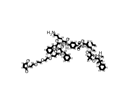 CN[C@H](C(=O)N[C@H](C(=O)N(C)[C@H](C=C(C)C(=O)NS(=O)(=O)c1ccc(NC(=O)[C@H](CCCCN)NC(=O)[C@H](Cc2ccccc2)NC(=O)[C@@H](Cc2ccccc2)NC(=O)CCOCCOCCOCCN2C(=O)C=CC2=O)cc1)C(C)C)C(C)(C)C)C(C)(C)c1ccccc1